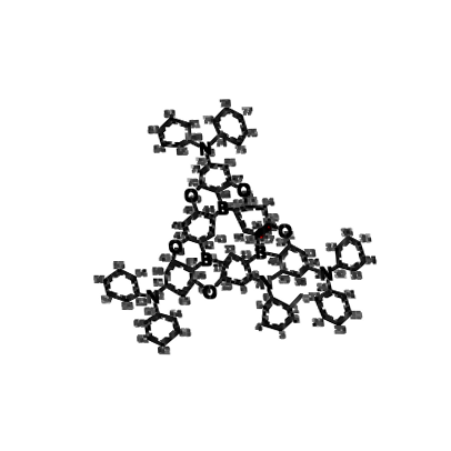 Cc1ccccc1N1c2cc3c(cc2B2c4ccccc4Oc4cc(N(c5ccccc5)c5ccccc5)cc1c42)B1c2cc4c(cc2Oc2cc(N(c5ccccc5)c5ccccc5)cc(c21)O3)Oc1cc(N(c2ccccc2)c2ccccc2)cc2c1B4c1ccccc1O2